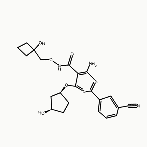 N#Cc1cccc(-c2nc(N)c(C(=O)NOCC3(O)CCC3)c(O[C@H]3CC[C@@H](O)C3)n2)c1